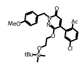 COc1ccc(Cn2nc(OCCO[Si](C)(C)C(C)(C)C)c(-c3cc(Cl)ccc3C(C)=O)cc2=O)cc1